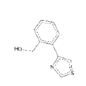 OCc1ccc[c]c1-c1cscn1